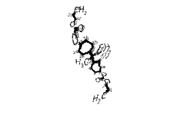 C=CCOC(=O)OC1CCC(C(C)(C)C2CCC(OC(=O)OCC=C)CC2)CC1